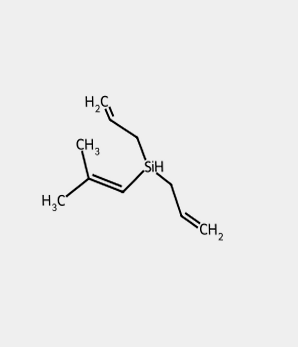 C=CC[SiH](C=C(C)C)CC=C